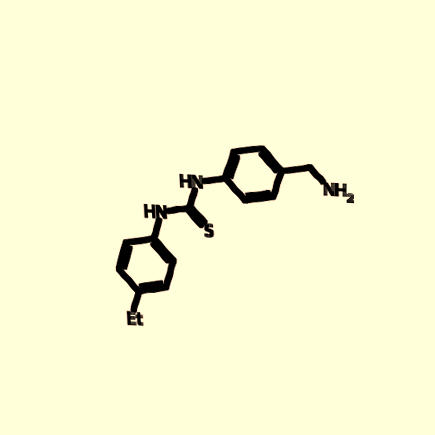 CCc1ccc(NC(=S)Nc2ccc(CN)cc2)cc1